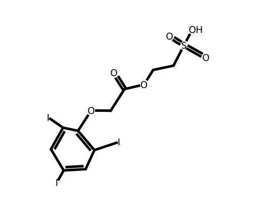 O=C(COc1c(I)cc(I)cc1I)OCCS(=O)(=O)O